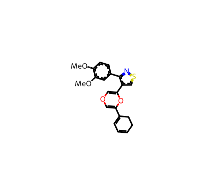 COc1ccc(-c2nscc2C2=COC=C(C3=CC=CCC3)O2)cc1OC